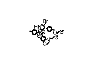 COCCCN1CCOc2ccc(C(O[C@H]3CNC[C@@H](CBr)[C@@H]3c3ccc(COCCOC)cc3)S(=O)(=O)c3ccc(C)cc3)cc21